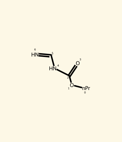 CCCOC(=O)N[C]=N